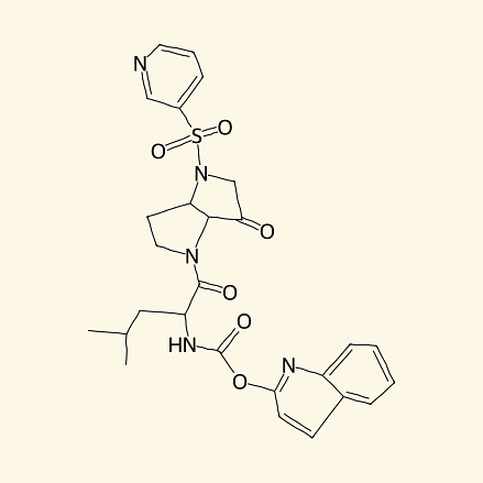 CC(C)CC(NC(=O)Oc1ccc2ccccc2n1)C(=O)N1CCC2C1C(=O)CN2S(=O)(=O)c1cccnc1